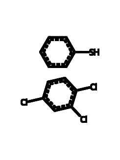 Clc1ccc(Cl)c(Cl)c1.Sc1ccccc1